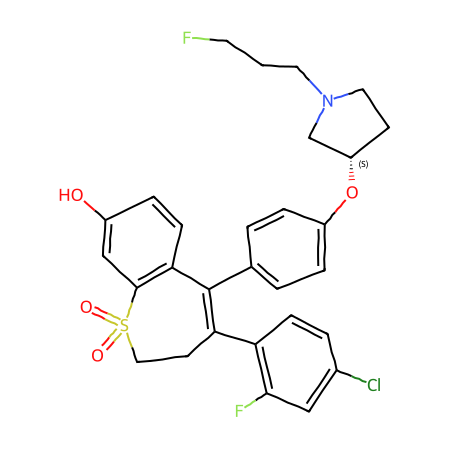 O=S1(=O)CCC(c2ccc(Cl)cc2F)=C(c2ccc(O[C@H]3CCN(CCCF)C3)cc2)c2ccc(O)cc21